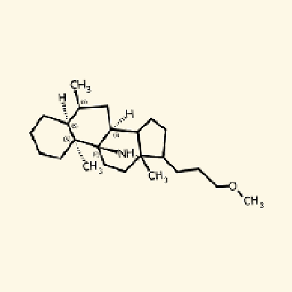 COCCCC1CCC2[C@@H]3C[C@H](C)[C@@H]4CCCC[C@]4(C)[C@@]3(N)CCC12C